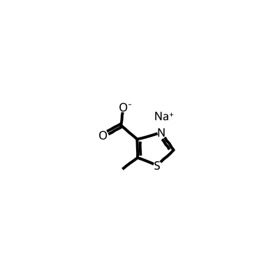 Cc1scnc1C(=O)[O-].[Na+]